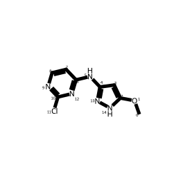 COc1cc(Nc2ccnc(Cl)n2)n[nH]1